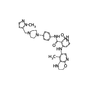 Cc1c(Nc2cc[nH]c(=O)c2C(=O)Nc2ccc(N3CCN(Cc4ccnn4C)CC3)cc2)cnc2c1NCCO2